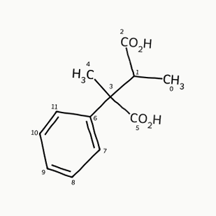 CC(C(=O)O)C(C)(C(=O)O)c1ccccc1